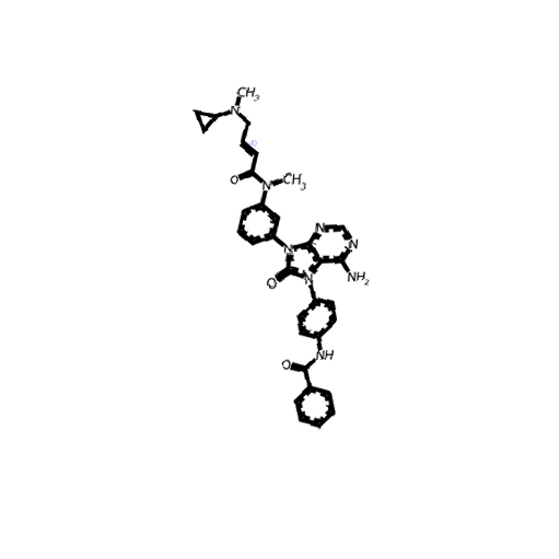 CN(C(=O)/C=C/CN(C)C1CC1)c1cccc(-n2c(=O)n(-c3ccc(NC(=O)c4ccccc4)cc3)c3c(N)ncnc32)c1